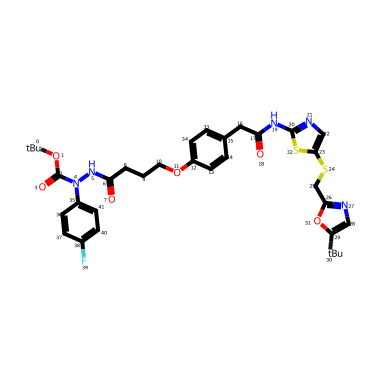 CC(C)(C)OC(=O)N(NC(=O)CCCOc1ccc(CC(=O)Nc2ncc(SCc3ncc(C(C)(C)C)o3)s2)cc1)c1ccc(F)cc1